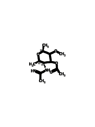 COC1C(OC(C)=O)[C@H](NC(C)=N)[C@@H](C)O[C@H]1C